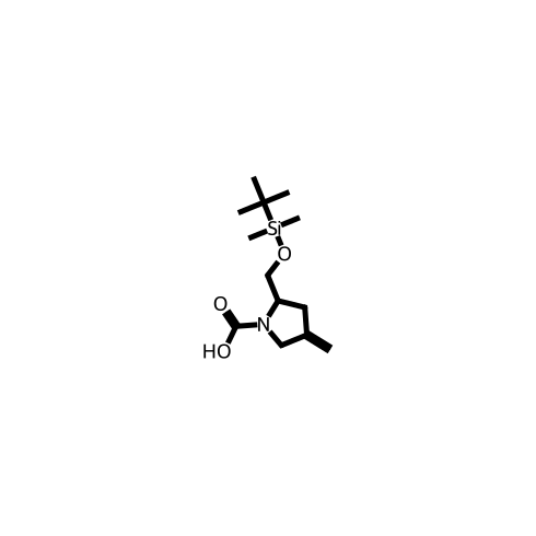 C=C1CC(CO[Si](C)(C)C(C)(C)C)N(C(=O)O)C1